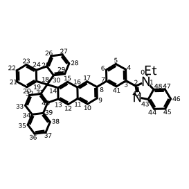 CCn1c(-c2cccc(-c3ccc4cc5c(cc4c3)C3(c4ccccc4-c4ccccc43)c3ccc4ccccc4c3-5)c2)nc2ccccc21